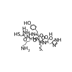 CSCC[C@H](NC(=O)[C@H](Cc1ccc(O)cc1)NC(=O)[C@H](CCCCN)NC(=O)[C@@H](N)CS)C(=O)N[C@@H](Cc1c[nH]cn1)C(=O)O